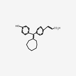 O=C(O)C=Cc1ccc(C(=C2CCCCCCC2)c2ccc(O)cc2)cc1